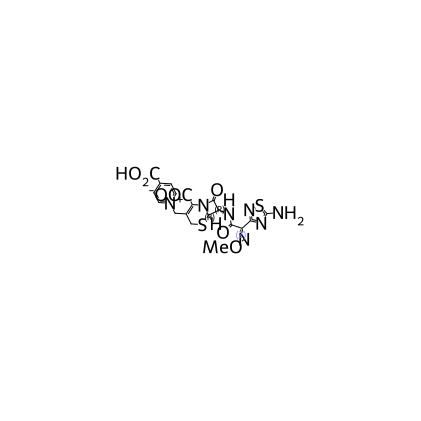 CO/N=C(\C(=O)N[C@@H]1C(=O)N2C(C(=O)[O-])=C(C[n+]3ccc(C(=O)O)cc3)CS[C@H]12)c1nsc(N)n1